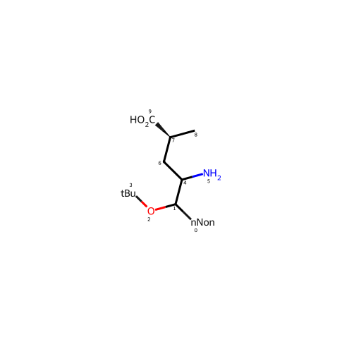 CCCCCCCCCC(OC(C)(C)C)C(N)C[C@H](C)C(=O)O